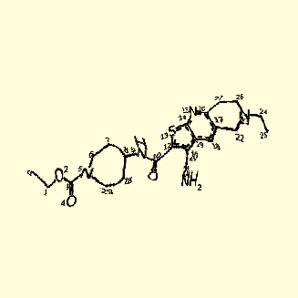 CCOC(=O)N1CCC(NC(=O)c2sc3nc4c(cc3c2N)CN(CC)CC4)CC1